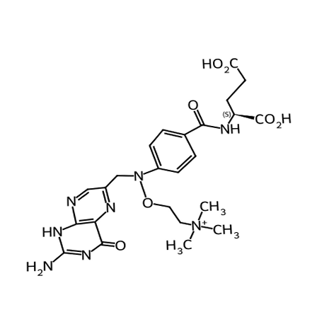 C[N+](C)(C)CCON(Cc1cnc2[nH]c(N)nc(=O)c2n1)c1ccc(C(=O)N[C@@H](CCC(=O)O)C(=O)O)cc1